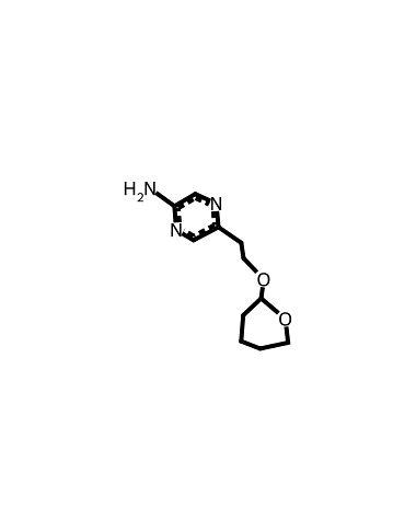 Nc1cnc(CCOC2CCCCO2)cn1